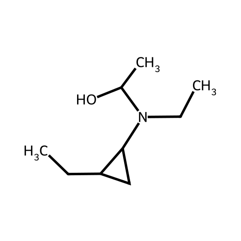 CCC1CC1N(CC)C(C)O